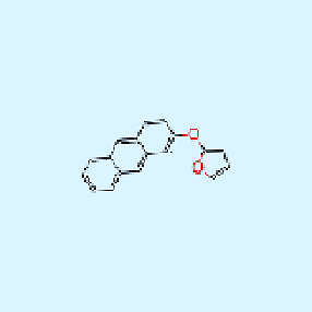 [c]1c(Oc2ccco2)ccc2cc3ccccc3cc12